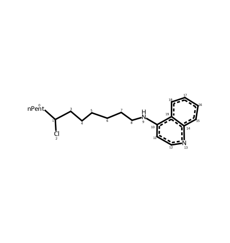 CCCCCC(Cl)CCCCCCNc1ccnc2ccccc12